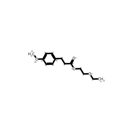 CCOCCOC(=O)CCc1ccc(OC)cc1